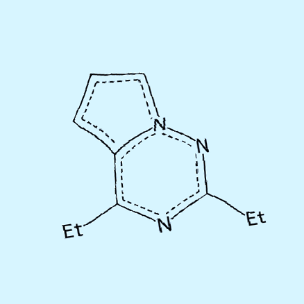 CCc1nc(CC)c2cccn2n1